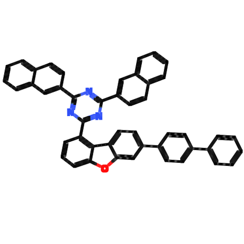 c1ccc(-c2ccc(-c3ccc4c(c3)oc3cccc(-c5nc(-c6ccc7ccccc7c6)nc(-c6ccc7ccccc7c6)n5)c34)cc2)cc1